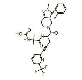 CN1N=C2CCN(C(=O)[C@@H](CC#Cc3cccc(C(F)(F)F)n3)NC(=O)C(C)(C)NC(=O)O)C[C@@]2(Cc2ccccc2)C1=O